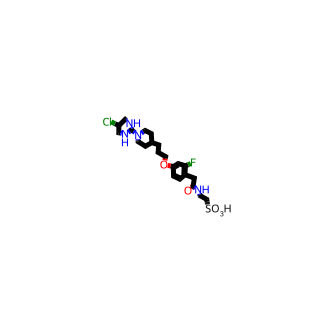 O=C(Cc1ccc(OCCCC2CCN(C3NCC(Cl)CN3)CC2)cc1F)NCCS(=O)(=O)O